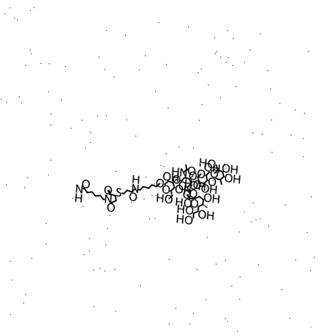 CNC(=O)CCCCCN1C(=O)CC(SCCC(=O)NCCCCCO[C@@H]2OC(CO)[C@H](O)[C@H](O[C@@H]3OC(CO[C@]4(C(=O)O)C[C@@H](O)[C@@H](C)C([C@H](O)[C@H](O)CO)O4)[C@@H](O)[C@H](O[C@@H]4OC(CO)[C@H](O[C@@H]5OC(CO)[C@H](O)[C@H](O)C5C)[C@H](O)C4O)C3NC(C)=O)C2O)C1=O